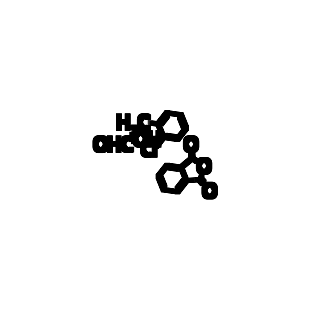 Cc1ccccc1Cl.O=C1OC(=O)c2ccccc21.O=CO